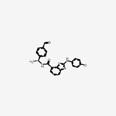 C[C@H](NC(=O)c1cccc2nc(Nc3ccc(Cl)cc3)oc12)c1ccc(C=O)cc1